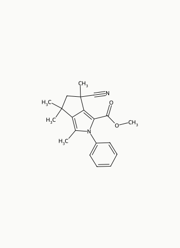 COC(=O)c1c2c(c(C)n1-c1ccccc1)C(C)(C)CC2(C)C#N